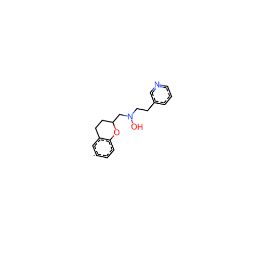 ON(CCc1cccnc1)CC1CCc2c[c]ccc2O1